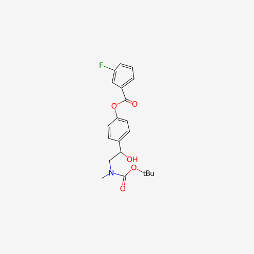 CN(CC(O)c1ccc(OC(=O)c2cccc(F)c2)cc1)C(=O)OC(C)(C)C